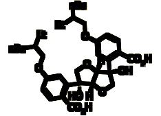 CCCCC(CC)COc1ccc(C(=O)O)c([C@]2(O)CO[C@H]3[C@@H]2OC[C@]3(O)c2cc(OCC(CC)CCCC)ccc2C(=O)O)c1